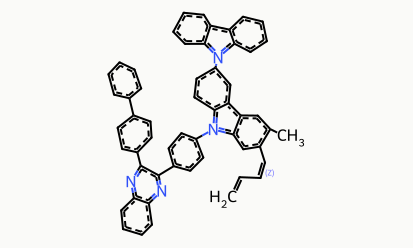 C=C/C=C\c1cc2c(cc1C)c1cc(-n3c4ccccc4c4ccccc43)ccc1n2-c1ccc(-c2nc3ccccc3nc2-c2ccc(-c3ccccc3)cc2)cc1